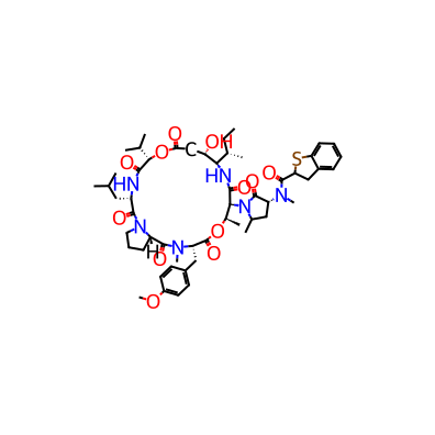 CC[C@H](C)[C@H]1NC(=O)[C@@H](N2C(=O)[C@H](N(C)C(=O)C3Cc4ccccc4S3)CC2C)[C@@H](C)OC(=O)[C@H](Cc2ccc(OC)cc2)N(C)C(=O)[C@@H]2CCCN2C(=O)[C@H](CC(C)C)NC(=O)[C@H](C(C)C)OC(=O)C[C@@H]1O